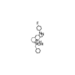 C[C@]12Cc3cnn(-c4ccc(F)cc4)c3C=C1CCC[C@@H]2[C@@H](O)Cc1ccccc1